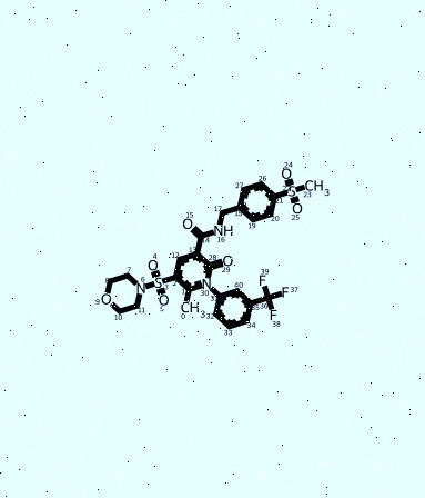 Cc1c(S(=O)(=O)N2CCOCC2)cc(C(=O)NCc2ccc(S(C)(=O)=O)cc2)c(=O)n1-c1cccc(C(F)(F)F)c1